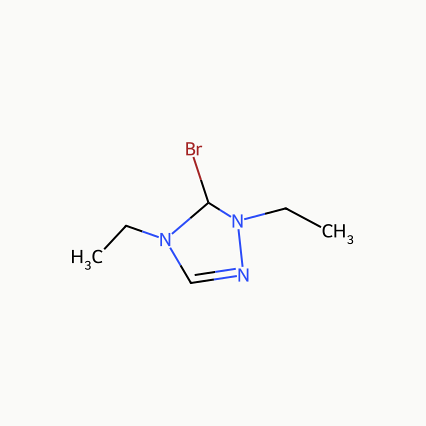 CCN1C=NN(CC)C1Br